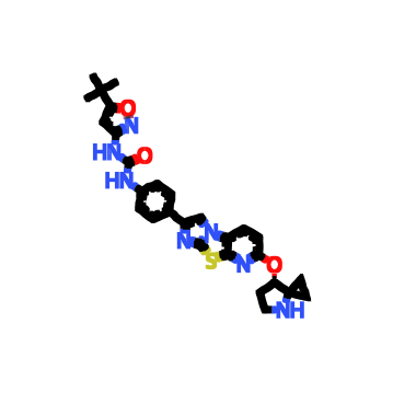 CC(C)(C)c1cc(NC(=O)Nc2ccc(-c3cn4c(n3)sc3nc(O[C@H]5CCNC56CC6)ccc34)cc2)no1